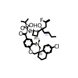 C=C(F)C[C@@](O)(/C=C/CC)[C@@H]1CC[C@H]1CN1C[C@@]2(CCCc3cc(Cl)ccc32)COc2ccc(C(=O)NS(=O)(=O)C(C)C)cc21